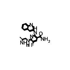 C[C@H](N)CNc1nc(Nc2cnc3ccccc3c2)c(C(N)=O)cc1F